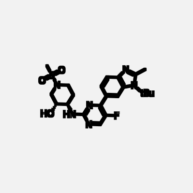 Cc1nc2ccc(-c3nc(N[C@@H]4CCN(S(C)(=O)=O)C[C@H]4O)ncc3F)cc2n1C(C)(C)C